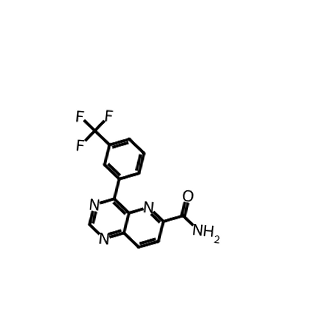 NC(=O)c1ccc2ncnc(-c3cccc(C(F)(F)F)c3)c2n1